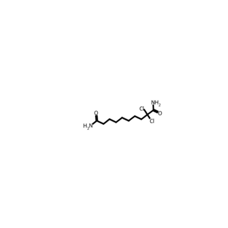 NC(=O)CCCCCCCC(Cl)(Cl)C(N)=O